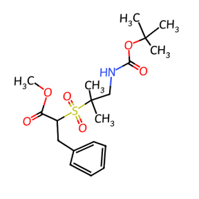 COC(=O)C(Cc1ccccc1)S(=O)(=O)C(C)(C)CNC(=O)OC(C)(C)C